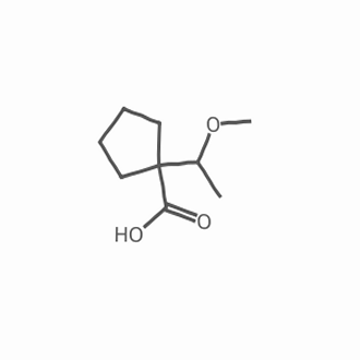 COC(C)C1(C(=O)O)CCCC1